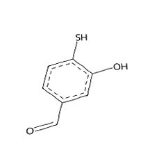 O=Cc1ccc(S)c(O)c1